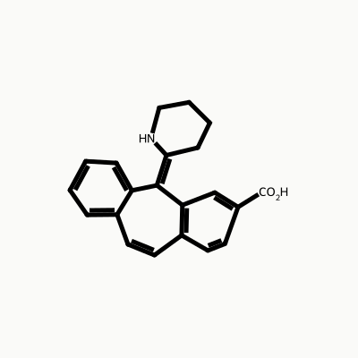 O=C(O)c1ccc2c(c1)C(=C1CCCCN1)c1ccccc1C=C2